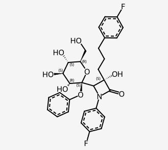 O=C1N(c2ccc(F)cc2)C([C@@]2(Oc3ccccc3)O[C@H](CO)[C@@H](O)[C@H](O)[C@H]2O)[C@@]1(O)CCCc1ccc(F)cc1